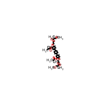 C=C(C)C(=O)Oc1cc(-c2ccc(-c3ccc(OCCOC(=O)C(=C)COC)c(OC(=O)C(=C)C)c3)cc2)ccc1OCCOC(=O)C(=C)COC